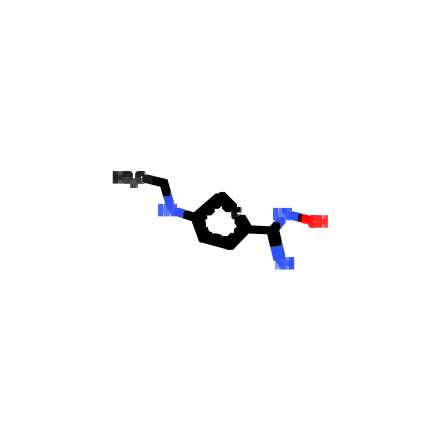 N=C(NO)c1ccc(NCC(=O)O)cc1